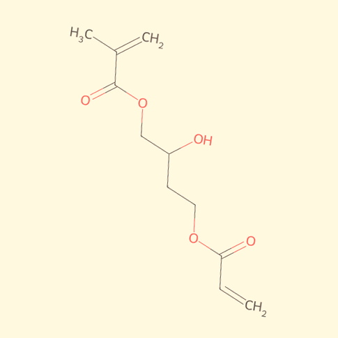 C=CC(=O)OCCC(O)COC(=O)C(=C)C